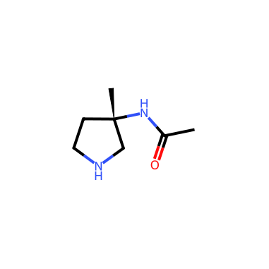 CC(=O)N[C@@]1(C)CCNC1